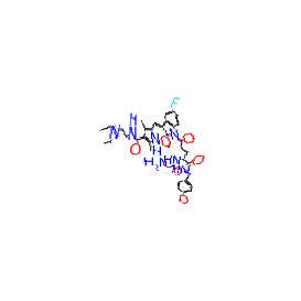 CCN(CC)CCNC(=O)c1c(C)[nH]c(/C=C2\C(=O)N(C(=O)CC[C@H](NC(=O)[C@H](C)N)C(=O)NCc3ccc(OC)cc3)c3ccc(F)cc32)c1C